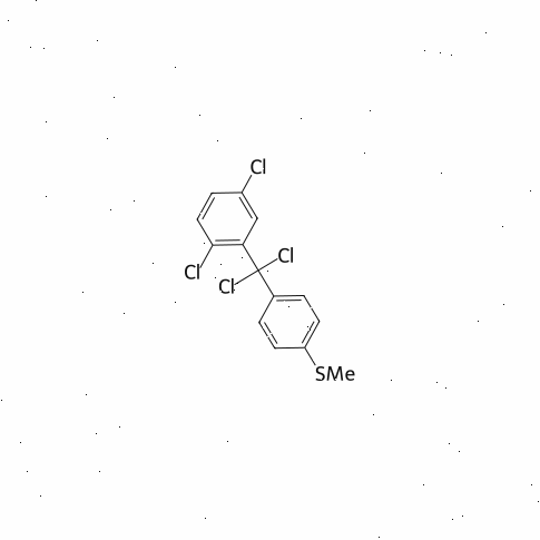 CSc1ccc(C(Cl)(Cl)c2cc(Cl)ccc2Cl)cc1